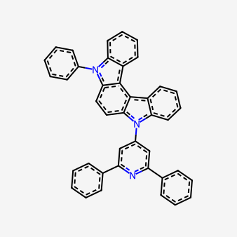 c1ccc(-c2cc(-n3c4ccccc4c4c5c6ccccc6n(-c6ccccc6)c5ccc43)cc(-c3ccccc3)n2)cc1